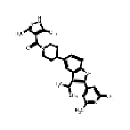 Cc1cc(-c2[nH]c3ccc(C4CCN(C(=O)c5c(C)n[nH]c5C)CC4)cc3c2C(C)C)cc(C)n1